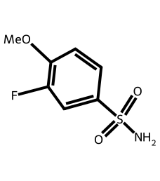 COc1ccc(S(N)(=O)=O)cc1F